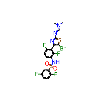 CN(C)C=Nc1nc(-c2c(F)ccc(NS(=O)(=O)c3cc(F)ccc3F)c2F)c(Br)s1